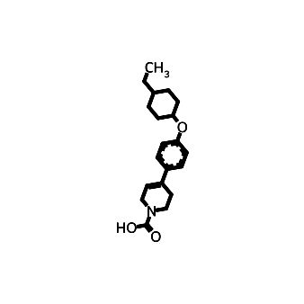 CCC1CCC(Oc2ccc(C3=CCN(C(=O)O)CC3)cc2)CC1